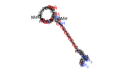 CO[C@H]1C[C@@H]2CC[C@@H](C)[C@@](O)(O2)C(=O)C(=O)N2CCCC[C@H]2C(=O)O[C@H]([C@H](N)C[C@@H]2CC[C@@H](OC(=O)NCCOCCOCCOCCOCCOCCOCCOCCOCCC(=O)N3CCc4cc(Cn5nc(-c6ccc7oc(N)nc7c6)c6c(N)ncnc65)ccc4C3)[C@H](OC)C2)C[C@@H](O)[C@H](C)/C=C(\C)[C@@H](O)[C@@H](O)C(=O)[C@H](C)C[C@H](C)/C=C/C=C/C=C/1C